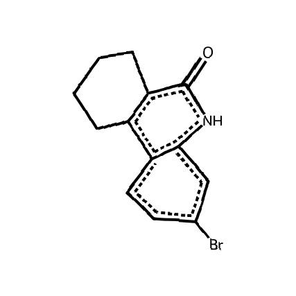 O=c1[nH]c2cc(Br)ccc2c2c1CCCC2